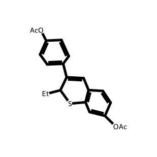 CCC1Sc2cc(OC(C)=O)ccc2C=C1c1ccc(OC(C)=O)cc1